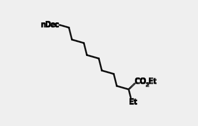 CCCCCCCCCCCCCCCCCCC(CC)C(=O)OCC